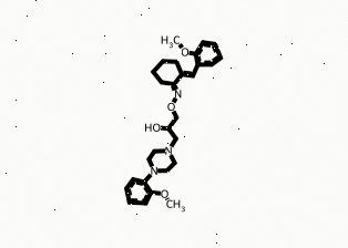 COc1ccccc1C=C1CCCCC1=NOCC(O)CN1CCN(c2ccccc2OC)CC1